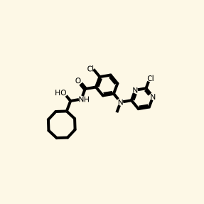 CN(c1ccc(Cl)c(C(=O)NC(O)C2CCCCCCC2)c1)c1ccnc(Cl)n1